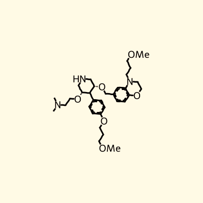 COCCCOc1ccc(C2[C@@H](OCc3ccc4c(c3)N(CCCOC)CCO4)CNC[C@H]2OCCN(C)C)cc1